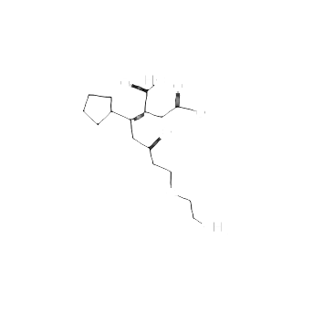 CCCOCCC(=O)CC(=C(CC(=O)O)C(=O)O)C1CCCC1